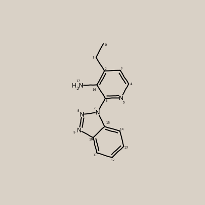 CCc1ccnc(-n2nnc3ccccc32)c1N